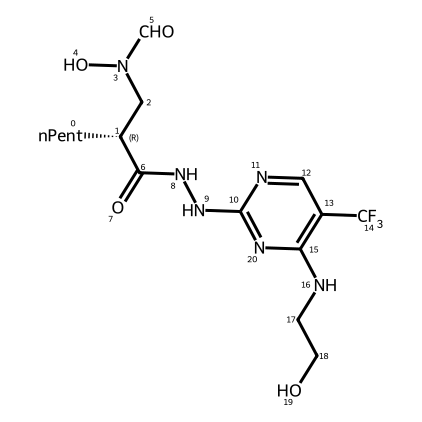 CCCCC[C@H](CN(O)C=O)C(=O)NNc1ncc(C(F)(F)F)c(NCCO)n1